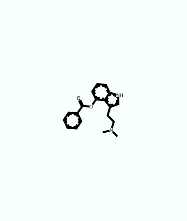 CN(C)CCc1c[nH]c2cccc(OC(=O)c3ccccc3)c12